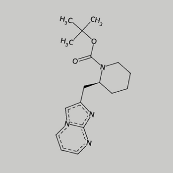 CC(C)(C)OC(=O)N1CCCC[C@H]1Cc1cn2cccnc2n1